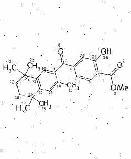 COC(=O)c1ccc(C(=O)c2cc3c(cc2C)C(C)(C)CCC3(C)C)cc1O